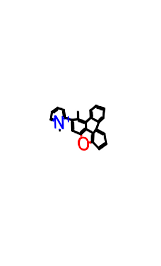 Cc1c(-c2cccc[n+]2C)cc2oc3cccc4c5ccccc5c1c2c34